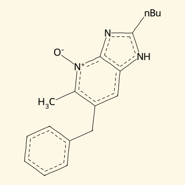 CCCCc1nc2c(cc(Cc3ccccc3)c(C)[n+]2[O-])[nH]1